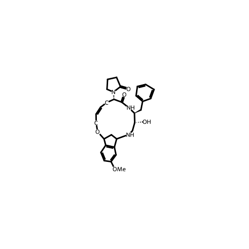 COc1ccc2c(c1)C1CC2OCC=CC[C@H](N2CCCC2=O)C(=O)N[C@@H](Cc2ccccc2)[C@H](O)CN1